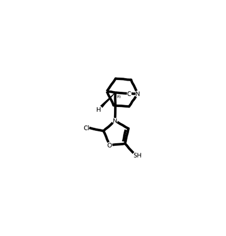 SC1=CN([C@H]2CN3CCC2CC3)C(Cl)O1